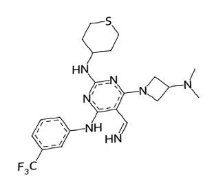 CN(C)C1CN(c2nc(NC3CCSCC3)nc(Nc3cccc(C(F)(F)F)c3)c2C=N)C1